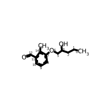 CCCC(O)COc1cccc(C=O)c1C